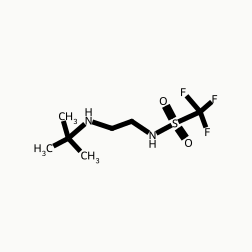 CC(C)(C)NCCNS(=O)(=O)C(F)(F)F